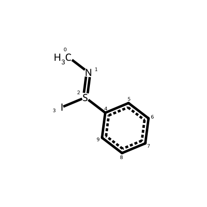 CN=S(I)c1ccccc1